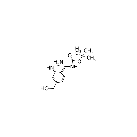 CC(C)(C)OC(=O)N/C(N)=C1\C=CC(CO)=CC1=N